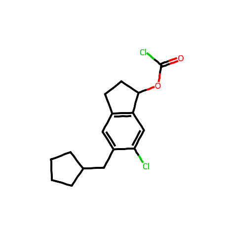 O=C(Cl)OC1CCc2cc(CC3CCCC3)c(Cl)cc21